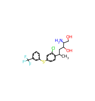 CC(CC(O)C(N)CO)c1ccc(Sc2cccc(C(F)(F)F)c2)cc1Cl